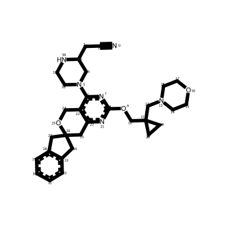 N#CCC1CN(c2nc(OCC3(CN4CCOCC4)CC3)nc3c2COC2(Cc4ccccc4C2)C3)CCN1